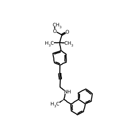 COC(=O)C(C)(C)c1ccc(C#CCN[C@H](C)c2cccc3ccccc23)cc1